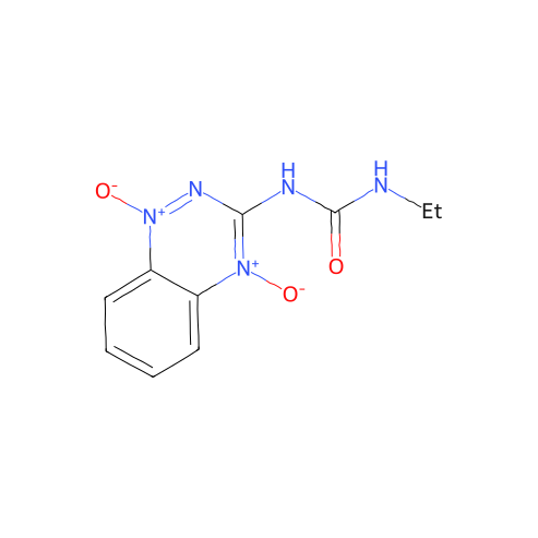 CCNC(=O)Nc1n[n+]([O-])c2ccccc2[n+]1[O-]